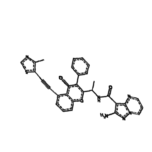 Cc1ncsc1C#Cc1cccc2oc(C(C)NC(=O)c3c(N)nn4cccnc34)c(-c3ccccc3)c(=O)c12